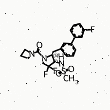 CS(=O)(=O)N[C@@H]1[C@H](Cc2cccc(-c3cccc(F)c3)c2)N(C(=O)N2CCC2)CC1(F)F